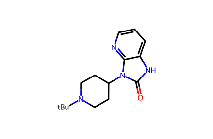 CC(C)(C)N1CCC(n2c(=O)[nH]c3cccnc32)CC1